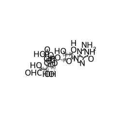 Nc1nc2c(ncn2[C@@H]2O[C@H](COP(=O)(O[C@H](CO)[C@@H](O)[C@H](O)[C@H](O)C=O)OP(=O)(O)O)[C@@H](O)[C@H]2O)c(=O)[nH]1